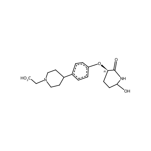 O=C(O)CN1CCC(c2ccc(O[C@@H]3CCC(O)NC3=O)cc2)CC1